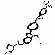 CN1CCC(NCc2ccc3c(c2)cc(-c2ccc(CNc4ccc(S(C)(=O)=O)cc4)cc2)n3CC(F)(F)F)CC1